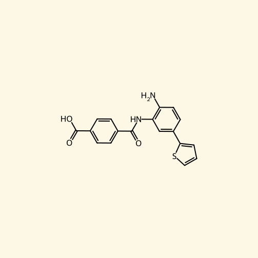 Nc1ccc(-c2cccs2)cc1NC(=O)c1ccc(C(=O)O)cc1